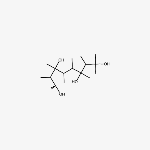 CC(C(C)C(C)(O)C(C)C(C)(C)O)C(C)(O)C(C)C(C)(C)O